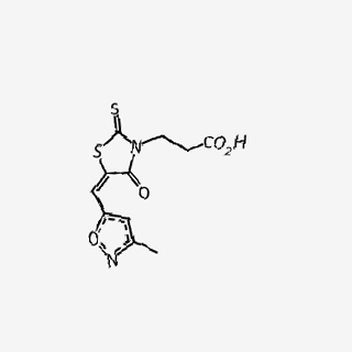 Cc1cc(C=C2SC(=S)N(CCC(=O)O)C2=O)on1